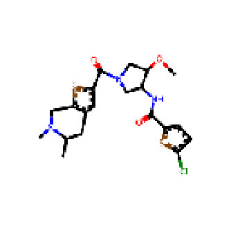 COC1CN(C(=O)c2cc3c(s2)CN(C)C(C)C3)CC1NC(=O)c1ccc(Cl)s1